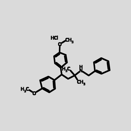 COc1ccc(C(CC(C)(C)NCc2ccccc2)c2ccc(OC)cc2)cc1.Cl